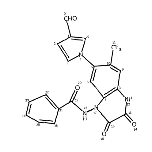 O=Cc1ccn(-c2cc3c(cc2C(F)(F)F)[nH]c(=O)c(=O)n3NC(=O)c2ccccc2)c1